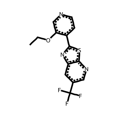 CCOc1cnccc1-c1nc2cc(C(F)(F)F)cnc2s1